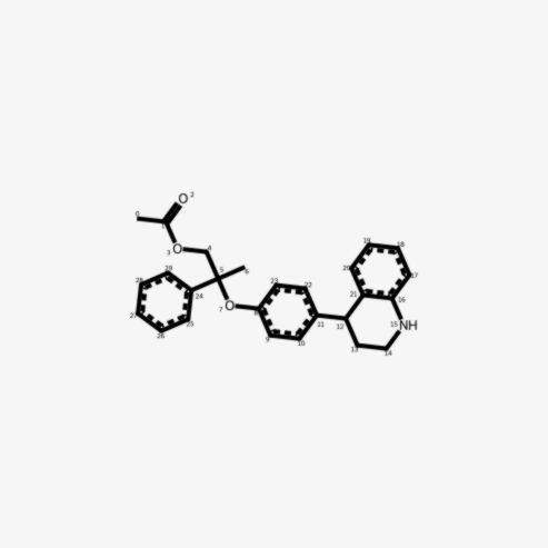 CC(=O)OCC(C)(Oc1ccc(C2CCNc3ccccc32)cc1)c1ccccc1